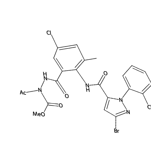 COC(=O)N(NC(=O)c1cc(Cl)cc(C)c1NC(=O)c1cc(Br)nn1-c1ccccc1Cl)C(C)=O